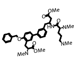 CNCCC[C@H](NC)C(=O)NC(CC(=O)OC)Cc1cccc(-c2ccc(OCc3ccccc3)c(C[C@H](NC)C(=O)OC)c2)c1